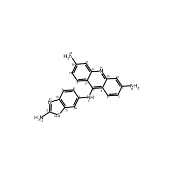 Nc1ccc2c(Nc3ccc4nc(N)sc4c3)c3ccc(N)cc3nc2c1